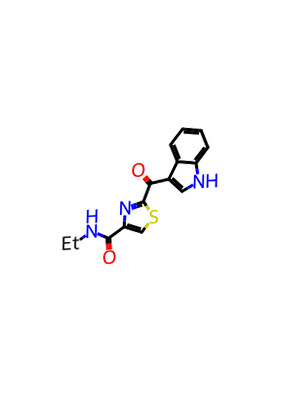 CCNC(=O)c1csc(C(=O)c2c[nH]c3ccccc23)n1